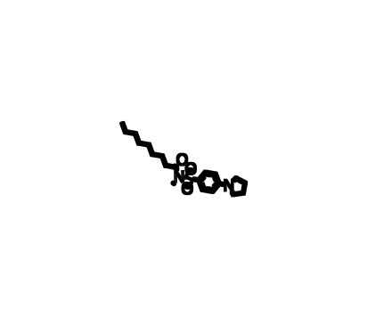 CCCCCCCCC(=O)N(C)S(=O)(=O)c1ccc(N2CCCC2)cc1